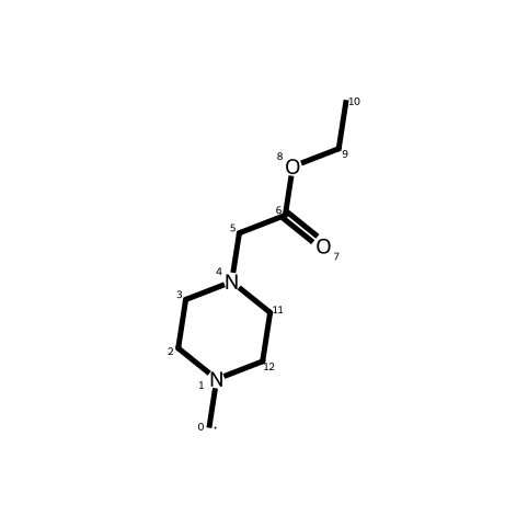 [CH2]N1CCN(CC(=O)OCC)CC1